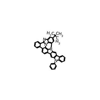 CC(C)(C)c1cc2c3c(c1)nc1c4ccccc4c4ccc5c(c4n13)B2c1cc2c3ccccc3n(-c3ccccc3)c2cc1-5